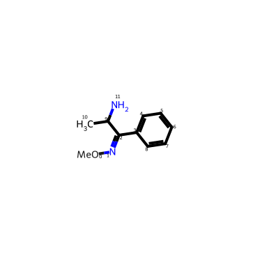 CON=C(c1ccccc1)C(C)N